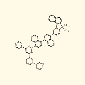 CC1(C)c2ccc(-c3ccc(-c4ccc(-c5nc(-c6ccccc6)cc(-c6cccc(-c7cccnc7)c6)n5)c5ccccc45)c4ccccc34)cc2-c2c1ccc1ccccc21